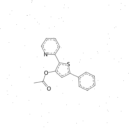 CC(=O)Oc1cc(-c2ccccc2)sc1-c1ccccn1